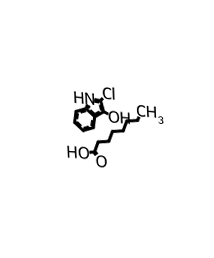 CCCCCCCC(=O)O.Oc1c(Cl)[nH]c2ccccc12